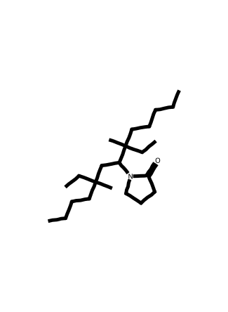 CCCCCC(C)(CC)C(CC(C)(CC)CCCC)N1CCCC1=O